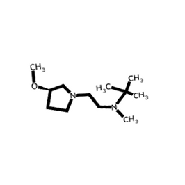 CO[C@@H]1CCN(CCN(C)C(C)(C)C)C1